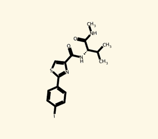 CNC(=O)[C@@H](NC(=O)c1csc(-c2ccc(I)cc2)n1)C(C)C